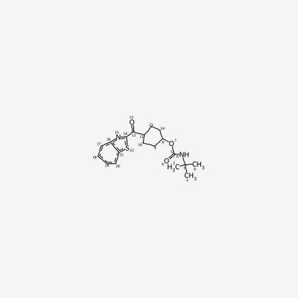 CC(C)(C)NC(=O)OC1CCC(C(=O)c2nc3ccccc3s2)CC1